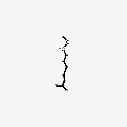 COOCCCCCC(C)C